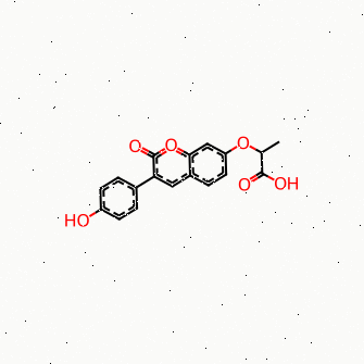 CC(Oc1ccc2cc(-c3ccc(O)cc3)c(=O)oc2c1)C(=O)O